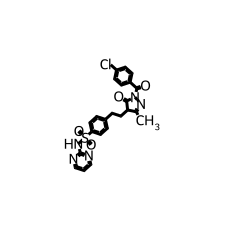 CC1=NN(C(=O)c2ccc(Cl)cc2)C(=O)C1CCc1ccc(S(=O)(=O)Nc2ncccn2)cc1